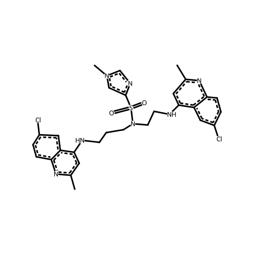 Cc1cc(NCCCN(CCNc2cc(C)nc3ccc(Cl)cc23)S(=O)(=O)c2cn(C)cn2)c2cc(Cl)ccc2n1